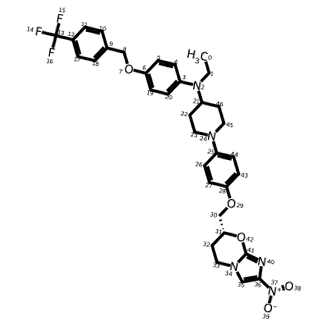 CCN(c1ccc(OCc2ccc(C(F)(F)F)cc2)cc1)C1CCN(c2ccc(OC[C@H]3CCn4cc([N+](=O)[O-])nc4O3)cc2)CC1